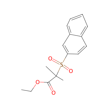 CCOC(=O)C(C)(C)S(=O)(=O)c1ccc2ccccc2c1